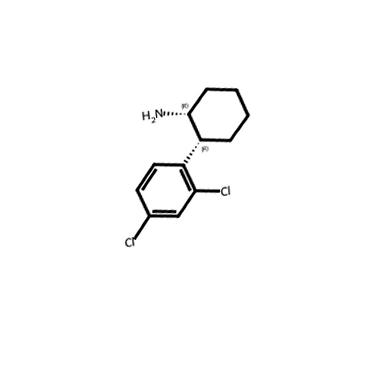 N[C@@H]1CCCC[C@@H]1c1ccc(Cl)cc1Cl